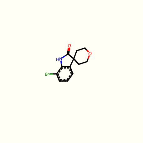 O=C1Nc2c(Br)cccc2C12CCOCC2